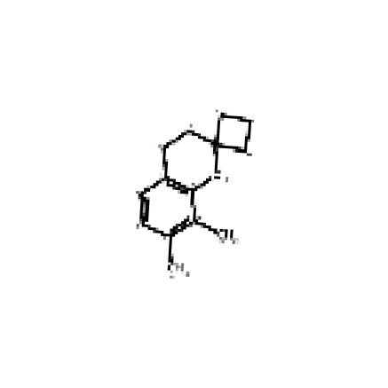 Cc1ccc2c(c1C)OC1(CCC1)CC2